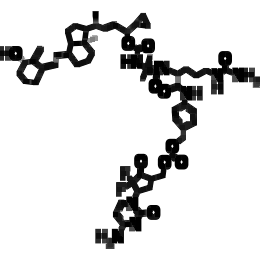 C=C1/C(=C\C=C2/CCC[C@@]3(C)C2CCC3[C@@H](C)/C=C/C(OC(=O)NC(C)(C)C(=O)NC(CCCNC(N)=O)C(=O)Nc2ccc(COC(=O)OCC3CC(n4ccc(N)nc4=O)C(F)(F)C3=O)cc2)C2CC2)CCC[C@@H]1O